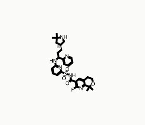 CC1(C)C[C@H](CCC(Nc2cccc(S(=O)(=O)NC(=O)c3cc4c(nc3F)C(C)(C)OCC4)n2)c2ccccn2)CN1